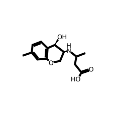 Cc1ccc2c(c1)OC[C@H](NC(C)CC(=O)O)[C@@H]2O